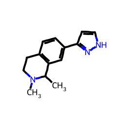 CC1c2cc(-c3cc[nH]n3)ccc2CCN1C